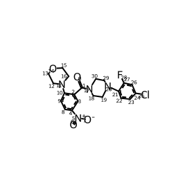 O=C(c1cc([N+](=O)[O-])ccc1N1CCOCC1)N1CCN(c2ccc(Cl)cc2F)CC1